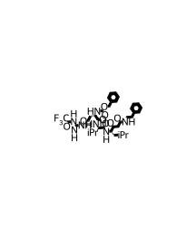 CC(C)C[C@H](NC(=O)[C@@H](NC(=O)[C@H](CCONC(=N)NC(=O)C(F)(F)F)NC(=O)OCc1ccccc1)C(C)C)[C@@H](O)CC(=O)NCCc1ccccc1